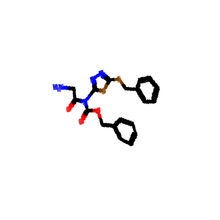 NCC(=O)N(C(=O)OCc1ccccc1)c1nnc(SCc2ccccc2)s1